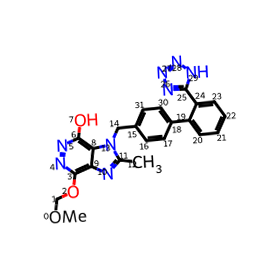 COCOc1nnc(O)c2c1nc(C)n2Cc1ccc(-c2ccccc2-c2nnn[nH]2)cc1